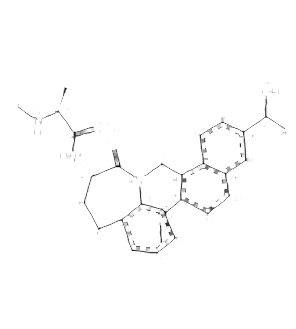 CN[C@@H](C)C(=O)N[C@H]1CCc2ccccc2N(Cc2c(OC)ccc3cc(C(C)O)ccc23)C1=O